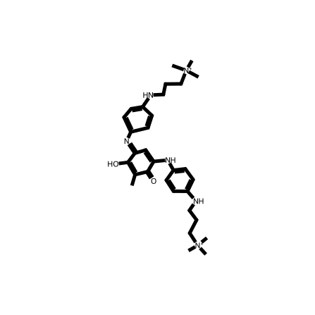 CC1=C(O)C(=Nc2ccc(NCCC[N+](C)(C)C)cc2)C=C(Nc2ccc(NCCC[N+](C)(C)C)cc2)C1=O